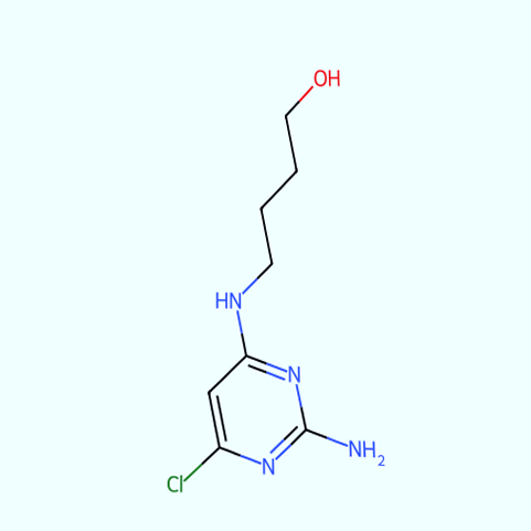 Nc1nc(Cl)cc(NCCCCO)n1